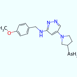 COc1ccc(CNc2cc(N3CCC([AsH2])C3)cnn2)cc1